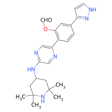 CC1(C)CC(Nc2cnc(-c3ccc(-c4cc[nH]n4)cc3OC=O)cn2)CC(C)(C)N1